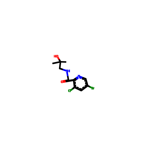 CC(C)(O)CNC(=O)c1ncc(Br)cc1Cl